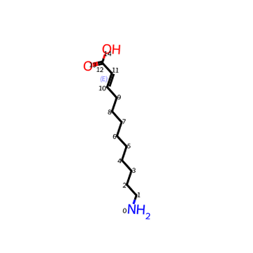 NCCCCCCCCC/C=C/C(=O)O